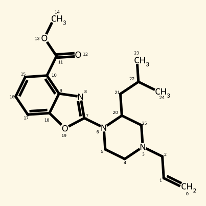 C=CCN1CCN(c2nc3c(C(=O)OC)cccc3o2)C(CC(C)C)C1